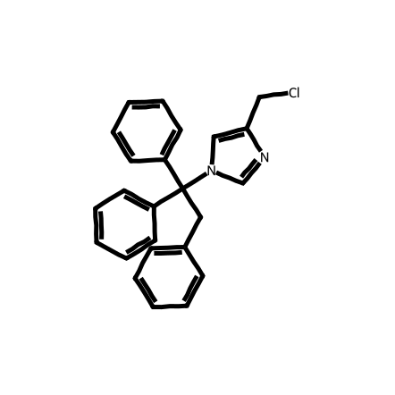 ClCc1cn(C(Cc2ccccc2)(c2ccccc2)c2ccccc2)cn1